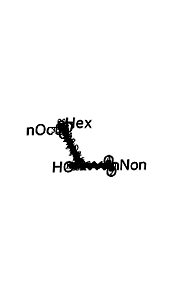 CCCCCCCCCC(=O)C(=O)CCCCCCCN(CCO)CCCCCCCCCOC(=O)C(CCCCCC)CCCCCCCC